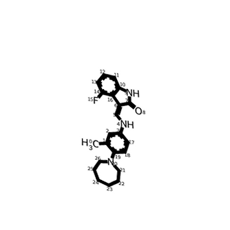 Cc1cc(NC=C2C(=O)Nc3cccc(F)c32)ccc1N1CCCCCC1